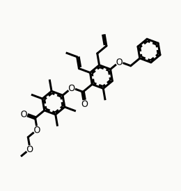 C=CCc1c(OCc2ccccc2)cc(C)c(C(=O)Oc2c(C)c(C)c(C(=O)OCOC)c(C)c2C)c1/C=C/C